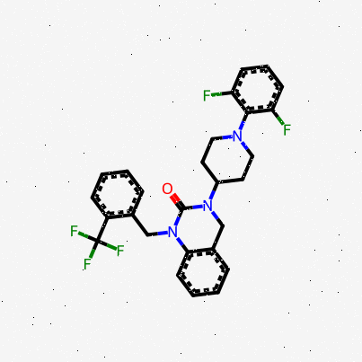 O=C1N(Cc2ccccc2C(F)(F)F)c2ccccc2CN1C1CCN(c2c(F)cccc2F)CC1